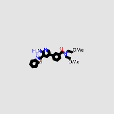 COCCN(CCOC)C(=O)c1cccc(-c2cnc(N)c(-c3nc4ccccc4s3)c2)c1